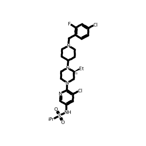 CC[C@H]1CN(c2ncc(NS(=O)(=O)C(C)C)cc2Cl)CCN1C1CCN(Cc2ccc(Cl)cc2F)CC1